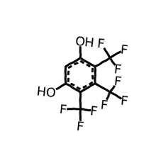 Oc1cc(O)c(C(F)(F)F)c(C(F)(F)F)c1C(F)(F)F